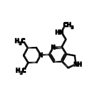 CNCc1nc(N2CC(C)CC(C)C2)cc2c1CNC2